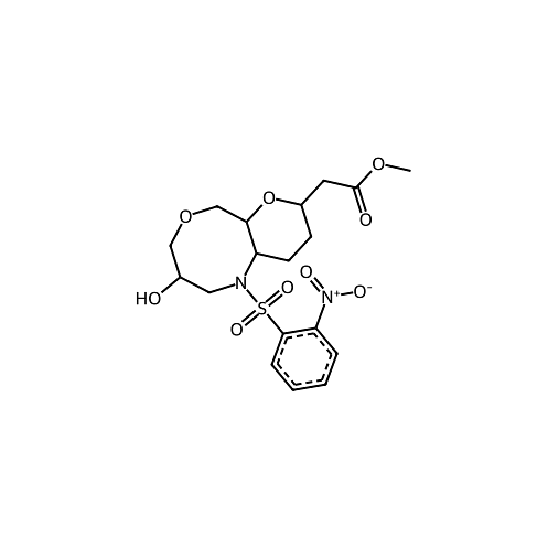 COC(=O)CC1CCC2C(COCC(O)CN2S(=O)(=O)c2ccccc2[N+](=O)[O-])O1